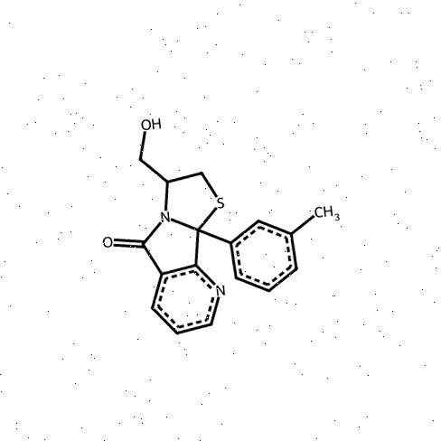 Cc1cccc(C23SCC(CO)N2C(=O)c2cccnc23)c1